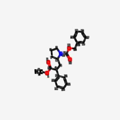 COC(=O)C(CC1CCCN1C(=O)OCc1ccccc1)c1ccccc1